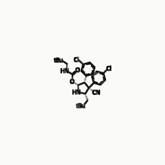 CC(C)(C)CNC(=O)O[C@H]1N[C@@H](CC(C)(C)C)[C@](C#N)(c2ccc(Cl)cc2)[C@H]1c1cccc(Cl)c1